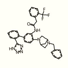 O=C(Cc1ccccc1C(F)(F)F)Nc1cc(-c2ccccc2-c2nnn[nH]2)ccc1N1CC2CC1CN2Cc1ccccc1